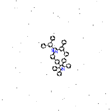 c1ccc(-c2cc(-c3ccccc3)cc(-c3cc(-c4cc(-c5ccccc5)cc(-c5ccccc5)c4)nc(-c4cccc(-c5ccc(-c6c(-c7ccccc7)c(-c7ccccc7)nc(-c7ccccc7)c6-c6ccccc6)cc5)c4)n3)c2)cc1